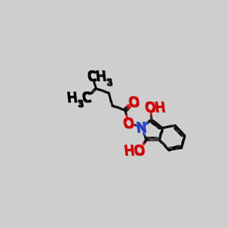 CC(C)CCC(=O)On1c(O)c2ccccc2c1O